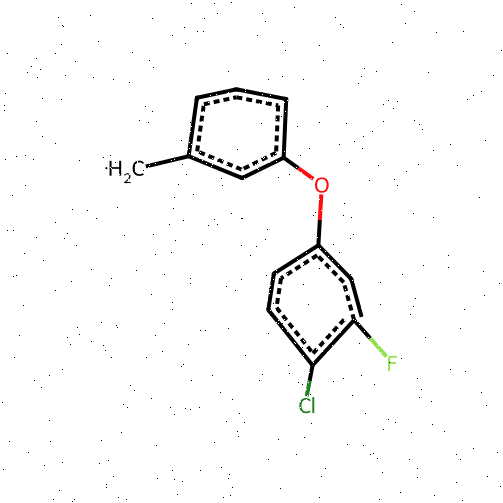 [CH2]c1cccc(Oc2ccc(Cl)c(F)c2)c1